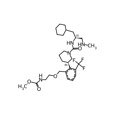 CNC[C@H](CC1CCCCC1)NC(=O)N1CCC[C@H](c2c(COCCNC(=O)OC)cccc2C(F)(F)F)C1